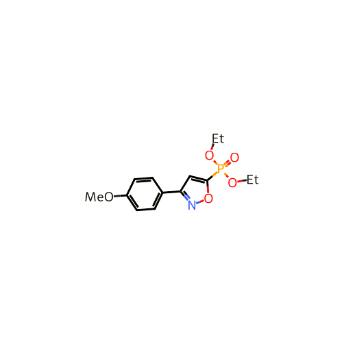 CCOP(=O)(OCC)c1cc(-c2ccc(OC)cc2)no1